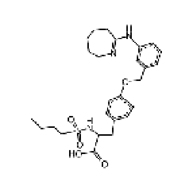 CCCCS(=O)(=O)NC(Cc1ccc(OCc2cccc(NC3=NCCCCC3)c2)cc1)C(=O)O